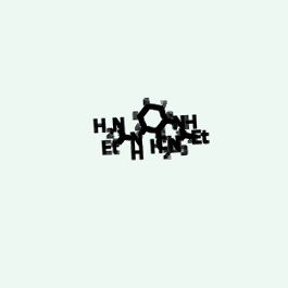 CCC(N)NC1CCCC(NC(N)CC)C1C